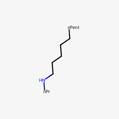 [CH2]CCCCCCCCCNCCC